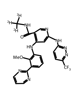 [2H]C([2H])([2H])NC(=O)c1cnc(Nc2ccc(C(F)(F)F)nn2)cc1Nc1cccc(-c2ncccn2)c1OC